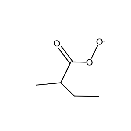 CCC(C)C(=O)O[O]